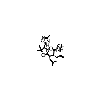 C=CC[C@H](C(=O)NO)[C@@H](CC(C)C)C(=O)N[C@H](c1nc(C)no1)C(C)(C)C